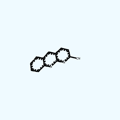 N#Cc1ccc2cc3ccccc3nc2n1